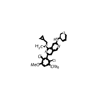 COc1cc(OC)c(Cl)c(-c2cc3cnc(NC4CCCOC4)cc3c(N(C)CC3CC3)n2)c1Cl